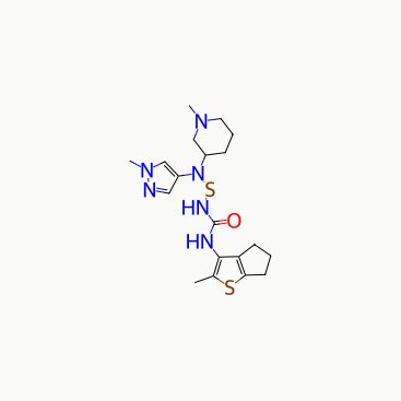 Cc1sc2c(c1NC(=O)NSN(c1cnn(C)c1)C1CCCN(C)C1)CCC2